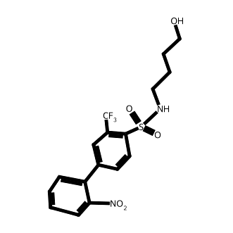 O=[N+]([O-])c1ccccc1-c1ccc(S(=O)(=O)NCCCCO)c(C(F)(F)F)c1